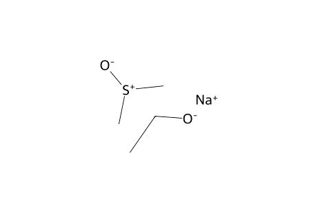 CC[O-].C[S+](C)[O-].[Na+]